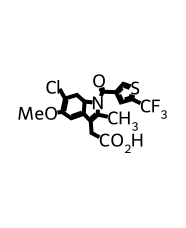 COC1=C(Cl)CC2C(=C1)C(CC(=O)O)=C(C)N2C(=O)c1csc(C(F)(F)F)c1